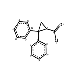 O=C(Cl)C1CC1(c1ccccc1)c1ccccc1